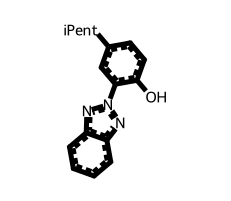 CCCC(C)c1ccc(O)c(-n2nc3ccccc3n2)c1